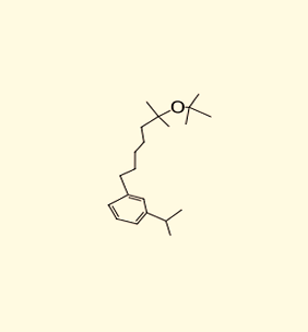 CC(C)c1cccc(CCCCCC(C)(C)OC(C)(C)C)c1